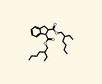 CCCCC(CC)COC(=O)C1Cc2ccccc2C1C(=O)OCC(CC)CCCC